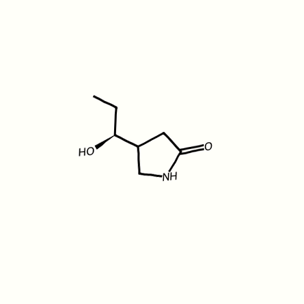 CC[C@H](O)C1CNC(=O)C1